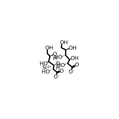 O=C([O-])[C@H](O)[C@@H](O)[C@H](O)[C@H](O)CO.O=C([O-])[C@H](O)[C@@H](O)[C@H](O)[C@H](O)CO.[Sr+2]